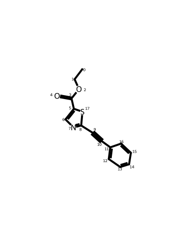 CCOC(=O)c1cnc(C#Cc2ccccc2)s1